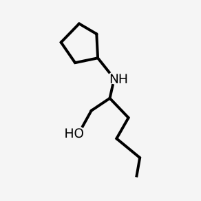 CCCCC(CO)NC1CCCC1